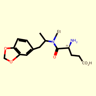 CCN(C(=O)[C@@H](N)CCC(=O)O)C(C)Cc1ccc2c(c1)OCO2